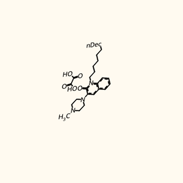 CCCCCCCCCCCCCCCCn1c(=O)c(N2CCN(C)CC2)cc2ccccc21.O=C(O)C(=O)O